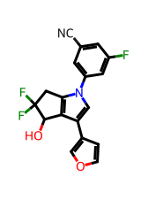 N#Cc1cc(F)cc(-n2cc(-c3ccoc3)c3c2CC(F)(F)C3O)c1